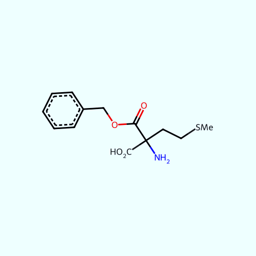 CSCCC(N)(C(=O)O)C(=O)OCc1ccccc1